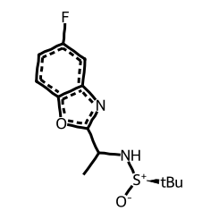 CC(N[S@+]([O-])C(C)(C)C)c1nc2cc(F)ccc2o1